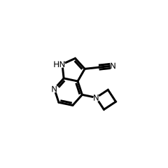 N#Cc1c[nH]c2nccc(N3CCC3)c12